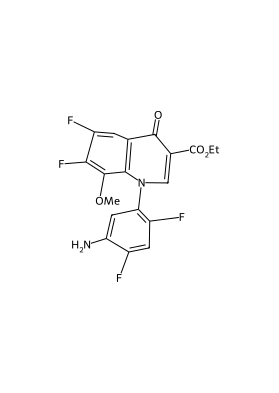 CCOC(=O)c1cn(-c2cc(N)c(F)cc2F)c2c(OC)c(F)c(F)cc2c1=O